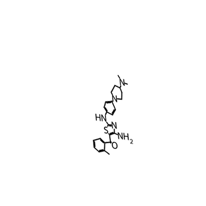 Cc1ccccc1C(=O)c1sc(Nc2ccc(N3CCC(N(C)C)CC3)cc2)nc1N